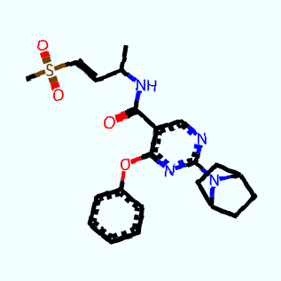 CC(C=CS(C)(=O)=O)NC(=O)c1cnc(N2C3CCC2CC3)nc1Oc1ccccc1